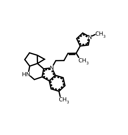 C/C(=C\CCn1c2c(c3cc(C)ccc31)CNC1CCC3CC231)c1ccn(C)c1